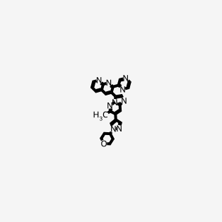 Cc1nn2c(-c3cc4cccnc4nc3-c3cnccn3)cnc2cc1-c1cnn(C2CCOCC2)c1